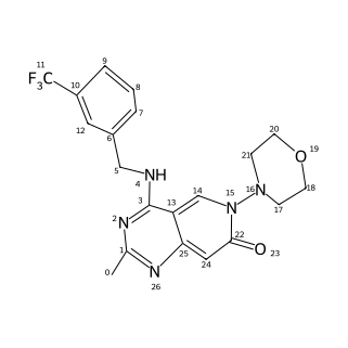 Cc1nc(NCc2cccc(C(F)(F)F)c2)c2cn(N3CCOCC3)c(=O)cc2n1